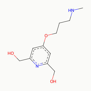 CNCCCOc1cc(CO)nc(CO)c1